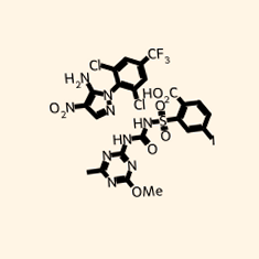 COc1nc(C)nc(NC(=O)NS(=O)(=O)c2cc(I)ccc2C(=O)O)n1.Nc1c([N+](=O)[O-])cnn1-c1c(Cl)cc(C(F)(F)F)cc1Cl